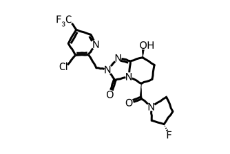 O=C([C@@H]1CC[C@H](O)c2nn(Cc3ncc(C(F)(F)F)cc3Cl)c(=O)n21)N1CC[C@H](F)C1